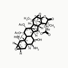 CC(=O)O[C@H]1C2C([C@@H](O)[C@@H](N)[C@H]3C[C@@H]4O[C@@H]4[C@H](O)[C@]23C)[C@@H]2[C@@H](OC(=O)C(C)(C)C)[C@@H]3[C@H]([C@H](C)[C@H]4O[C@]45OC(=O)[C@@](C)(O)[C@]35C)[C@@]2(C)[C@H]1OC(C)=O